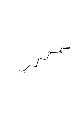 CCCCCONC=O